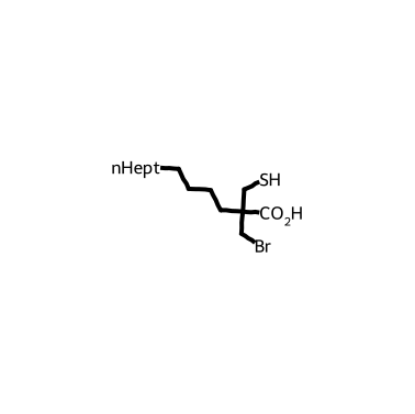 CCCCCCCCCCCC(CS)(CBr)C(=O)O